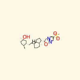 C[C@H]1CC[C@@](C)(O)C[C@@H]1CC[C@@H]1CCC[C@]2(C)[C@@H](C(=O)Cn3cc(S(C)(=O)=O)cn3)CC[C@@H]12